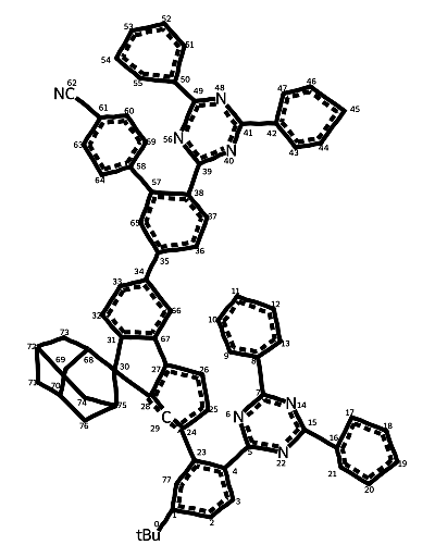 CC(C)(C)c1ccc(-c2nc(-c3ccccc3)nc(-c3ccccc3)n2)c(-c2ccc3c(c2)C2(c4ccc(-c5ccc(-c6nc(-c7ccccc7)nc(-c7ccccc7)n6)c(-c6ccc(C#N)cc6)c5)cc4-3)C3CC4CC(C3)CC2C4)c1